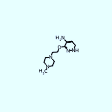 CN1CCN(CCOC2=NNCC=C2N)CC1